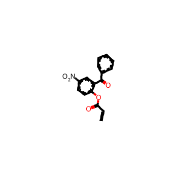 C=CC(=O)Oc1ccc([N+](=O)[O-])cc1C(=O)c1ccccc1